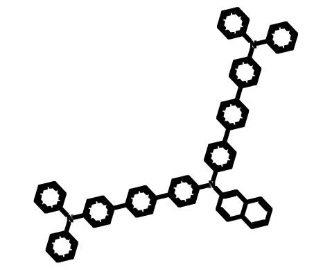 C1=CC2C=CC(N(c3ccc(-c4ccc(-c5ccc(N(c6ccccc6)c6ccccc6)cc5)cc4)cc3)c3ccc(-c4ccc(-c5ccc(N(c6ccccc6)c6ccccc6)cc5)cc4)cc3)=CC2C=C1